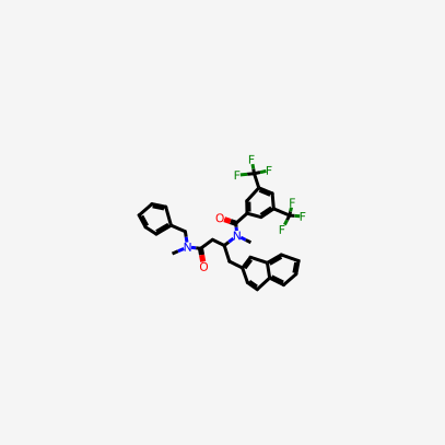 CN(Cc1ccccc1)C(=O)CC(Cc1ccc2ccccc2c1)N(C)C(=O)c1cc(C(F)(F)F)cc(C(F)(F)F)c1